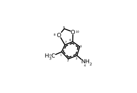 Cc1cc(N)cc2c1OCO2